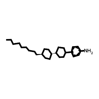 CCCCCCCCC[C@H]1CC[C@H](C2CCC(c3ccc(N)cc3)CC2)CC1